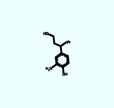 CCCC(CCO)c1ccc(O)c(N)c1